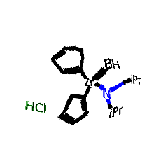 Cl.[BH]=[Zr]([C]1=CC=CC1)([C]1=CC=CC1)[N](C(C)C)C(C)C